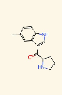 Cc1ccc2[nH]cc(C(=O)[C@H]3CCCN3)c2c1